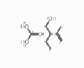 C=CC.CCCCO.O=C(O)O